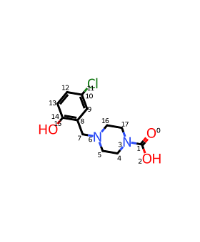 O=C(O)N1CCN(Cc2cc(Cl)ccc2O)CC1